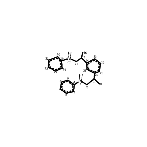 CC(CNc1ccccc1)c1cccc(C(C)CNc2ccccc2)c1